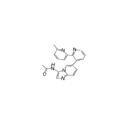 CC(=O)Nc1cnc2ccc(-c3cccnc3-c3cccc(C)n3)cn12